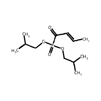 C/C=C/C(=O)P(=O)(OCC(C)C)OCC(C)C